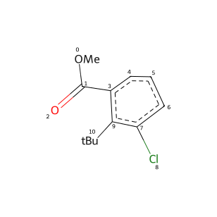 COC(=O)c1cccc(Cl)c1C(C)(C)C